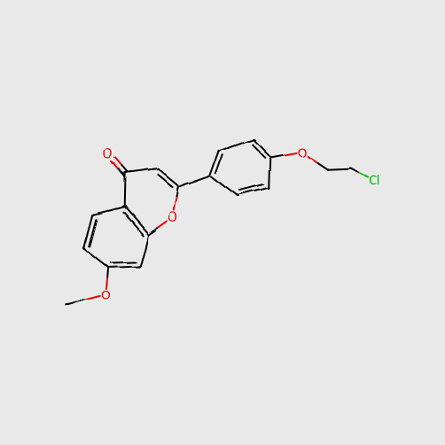 COc1ccc2c(=O)cc(-c3ccc(OCCCl)cc3)oc2c1